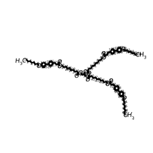 CCCCCCCCOc1ccc(-c2ccc(C=CC(=O)OCCCCCCCCCC(=O)OCC(COC(=O)CCCCCCCCCOC(=O)C=Cc3ccc(-c4ccc(OCCCCCCCC)cc4)cc3)OC(=O)CCCCCCCCCOC(=O)C=Cc3ccc(-c4ccc(OCCCCCCCC)cc4)cc3)cc2)cc1